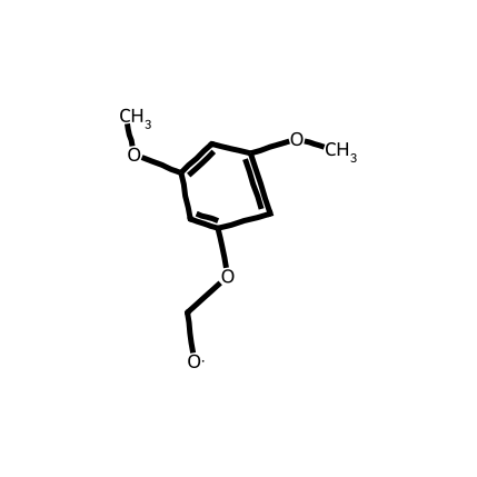 COc1cc(OC)cc(OC[O])c1